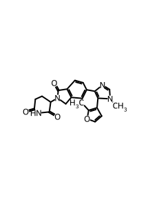 Cc1occc1-c1c(-c2ccc3c(c2)CN(C2CCC(=O)NC2=O)C3=O)ncn1C